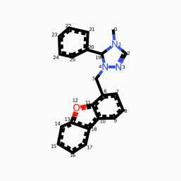 CN1C=NN(Cc2cccc3c2oc2ccccc23)C1c1ccccc1